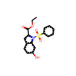 CCOC(=O)c1cc2ccc(O)cc2n1S(=O)(=O)c1ccccc1